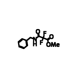 COC(=O)C(F)(F)C(=O)NCc1ccccc1